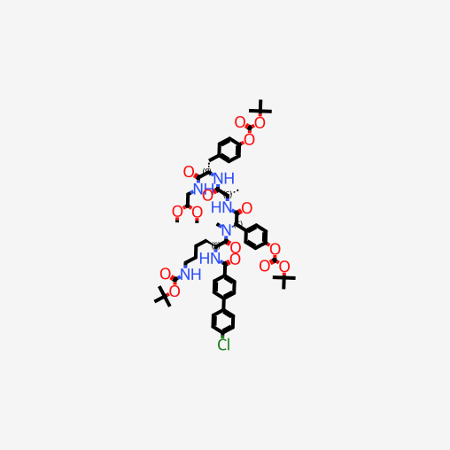 COC(CNC(=O)[C@H](Cc1ccc(OC(=O)OC(C)(C)C)cc1)NC(=O)[C@H](C)NC(=O)[C@H](c1ccc(OC(=O)OC(C)(C)C)cc1)N(C)C(=O)[C@H](CCCCNC(=O)OC(C)(C)C)NC(=O)c1ccc(-c2ccc(Cl)cc2)cc1)OC